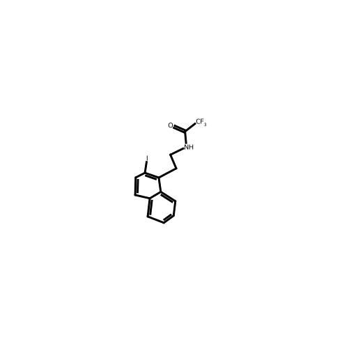 O=C(NCCc1c(I)ccc2ccccc12)C(F)(F)F